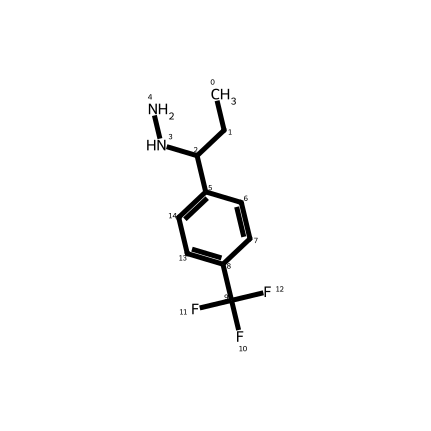 CCC(NN)c1ccc(C(F)(F)F)cc1